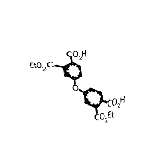 CCOC(=O)c1cc(Oc2ccc(C(=O)O)c(C(=O)OCC)c2)ccc1C(=O)O